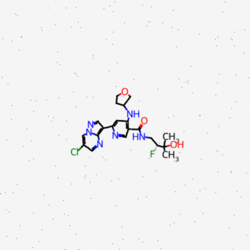 CC(C)(O)[C@H](F)CNC(=O)c1cnc(-c2cnn3cc(Cl)cnc23)cc1NC1CCOC1